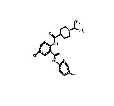 CC(C)N1CCC(C(=O)Nc2[c]cc(Cl)cc2C(=O)Nc2ccc(Cl)cn2)CC1